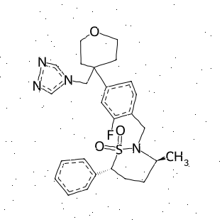 C[C@H]1CC[C@H](c2ccccc2)S(=O)(=O)N1Cc1ccc(C2(Cn3cnnc3)CCOCC2)cc1F